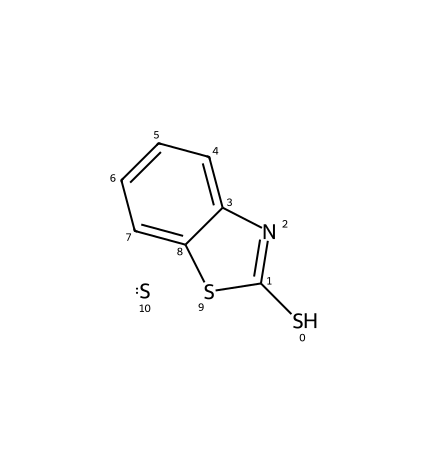 Sc1nc2ccccc2s1.[S]